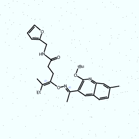 CC/C(C)=C(/CCC(=O)NCc1ccco1)O/N=C(\C)c1cc2ccc(C)cc2nc1OC(C)(C)C